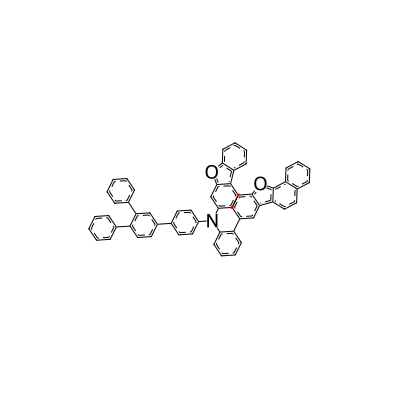 c1ccc(-c2ccc(-c3ccc(N(c4ccc5c(c4)oc4ccccc45)c4ccccc4-c4ccc5oc6c7ccccc7ccc6c5c4)cc3)cc2-c2ccccc2)cc1